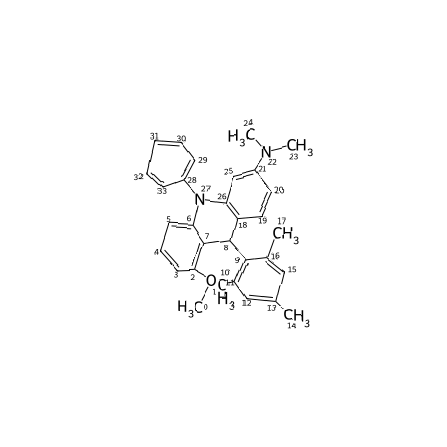 COc1cccc2c1C(c1c(C)cc(C)cc1C)c1ccc(N(C)C)cc1N2c1ccccc1